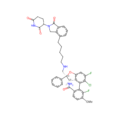 COc1ccc(C(N)=O)c(-c2c(Cl)c(F)cc3c2[C@H](C)[C@@](CNCCCCCc2cccc4c2CN(C2CCC(=O)NC2=O)C4=O)(c2ccccc2)O3)c1F